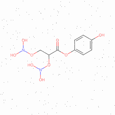 O=C(Oc1ccc(O)cc1)C(CON(O)O)ON(O)O